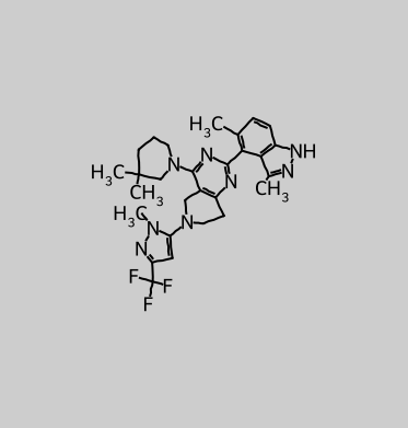 Cc1ccc2[nH]nc(C)c2c1-c1nc2c(c(N3CCCC(C)(C)C3)n1)CN(c1cc(C(F)(F)F)nn1C)CC2